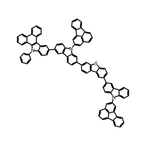 c1ccc(-n2c3ccc(-c4ccc5c(c4)c4ccc(-c6ccc7c(c6)sc6ccc(-c8ccc9c(c8)c8ccccc8n9-c8cc9c%10c(cccc%10c8)-c8ccccc8-9)cc67)cc4n5-c4cc5c6c(cccc6c4)-c4ccccc4-5)cc3c3c4ccccc4c4ccccc4c32)cc1